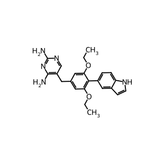 CCOc1cc(Cc2cnc(N)nc2N)cc(OCC)c1-c1ccc2[nH]ccc2c1